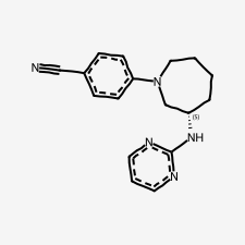 N#Cc1ccc(N2CCCC[C@H](Nc3ncccn3)C2)cc1